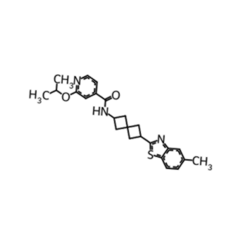 Cc1ccc2sc(C3CC4(CC(NC(=O)c5ccnc(OC(C)C)c5)C4)C3)nc2c1